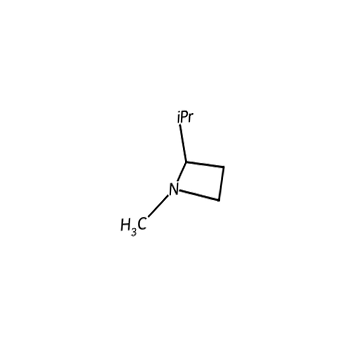 CC(C)C1CCN1C